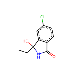 CCC1(O)NC(=O)c2ccc(Cl)cc21